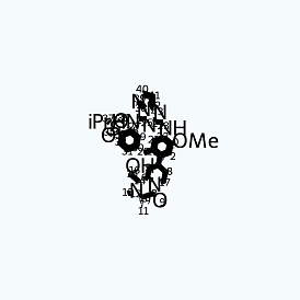 COc1cc(C2CCN(C(=O)[C@H](C)N(C)CCO)CC2)c(C)cc1Nc1nc(Nc2ccccc2S(=O)(=O)C(C)C)n2nccc2n1